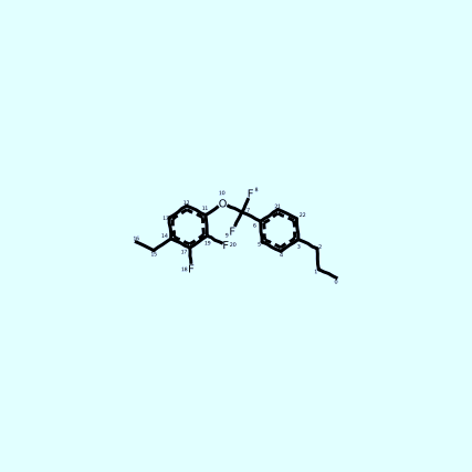 CCCc1ccc(C(F)(F)Oc2ccc(CC)c(F)c2F)cc1